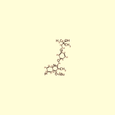 CCCCOc1c(C)c(COc2cccc(OCCC(C)(C)O)c2)nc2ccc(F)cc12